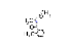 COC/C(C)=C/C(=O)c1ccccc1C